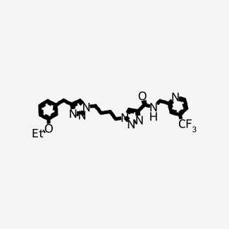 CCOc1cccc(Cc2cn(CCCCn3cc(C(=O)NCc4cc(C(F)(F)F)ccn4)nn3)nn2)c1